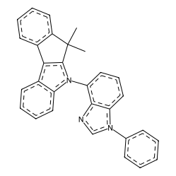 CC1(C)c2ccccc2-c2c1n(-c1cccc3c1ncn3-c1ccccc1)c1ccccc21